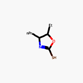 CCCC1N=C(S)OC1CC